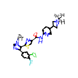 [2H]C([2H])([2H])N1CC(c2ccc(NC(=O)c3csc(-c4c(-c5ccc(F)c(Cl)c5)ncn4C(C)C)n3)nc2)C1